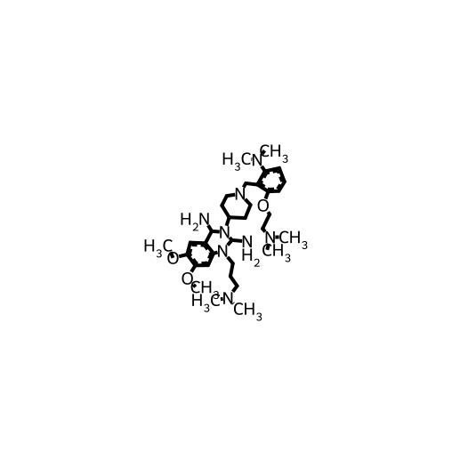 COc1cc2c(cc1OC)N(CCCN(C)C)C(N)N(C1CCN(Cc3c(OCCN(C)C)cccc3N(C)C)CC1)C2N